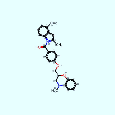 CC(=O)Oc1cccc2c1cc(C)n2C(=O)c1ccc(OC[C@@H]2CN(C)c3ccccc3O2)cc1